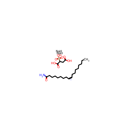 CCCCCCCC/C=C\CCCCCCCC(N)=O.O=C(O)CC(C(=O)O)S(=O)(=O)O.[NaH].[NaH]